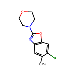 COc1cc2nc(N3CCOCC3)oc2cc1Br